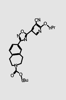 CCCOc1ncc(-c2nc(-c3ccc4c(c3)CCN(C(=O)OC(C)(C)C)CC4)no2)cc1C#N